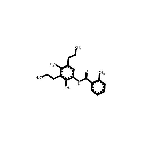 CCCc1cc(NC(=O)c2ccccc2C)c(C)c(CCC)c1N